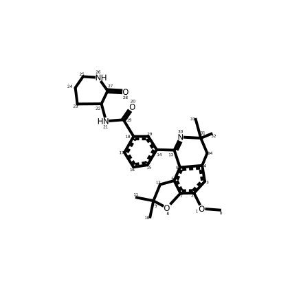 COc1cc2c(c3c1OC(C)(C)C3)C(c1cccc(C(=O)NC3CCCNC3=O)c1)=NC(C)(C)C2